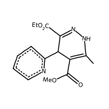 CCOC(=O)C1=NNC(C)=C(C(=O)OC)C1c1ccccn1